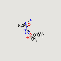 CC(C)Cc1ccc([C@H](C)C(O)OCn2ccc3c(N4CC[C@]5(C4)[C@@H](C)CN5C(=O)CC#N)ncnc32)cc1